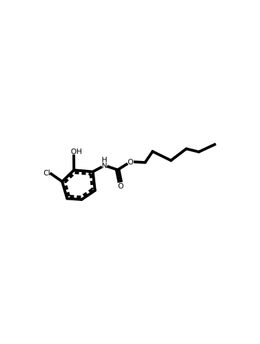 CCCCCCOC(=O)Nc1cccc(Cl)c1O